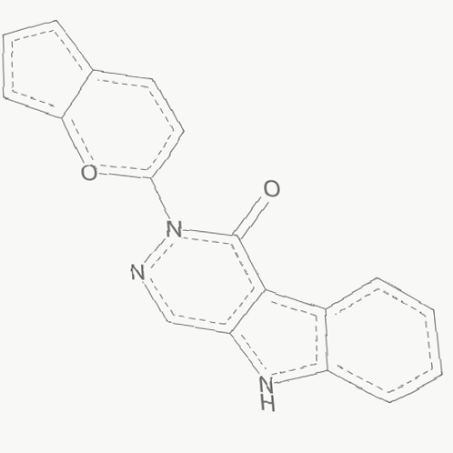 O=c1c2c(cnn1-c1ccc3cccc-3o1)[nH]c1ccccc12